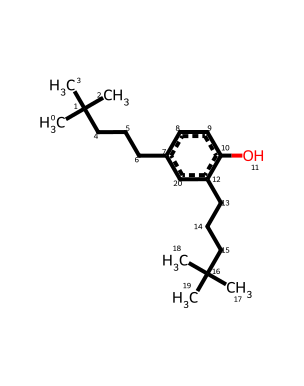 CC(C)(C)CCCc1ccc(O)c(CCCC(C)(C)C)c1